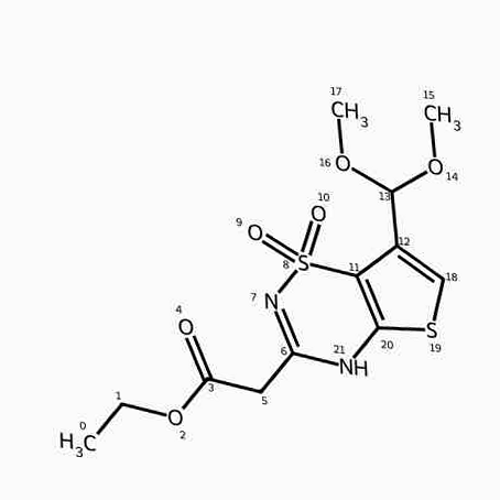 CCOC(=O)CC1=NS(=O)(=O)c2c(C(OC)OC)csc2N1